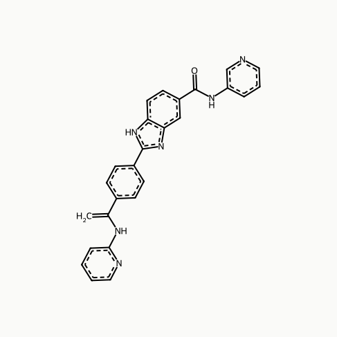 C=C(Nc1ccccn1)c1ccc(-c2nc3cc(C(=O)Nc4cccnc4)ccc3[nH]2)cc1